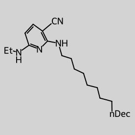 CCCCCCCCCCCCCCCCCCNc1nc(NCC)ccc1C#N